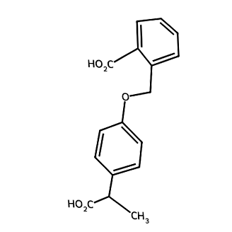 CC(C(=O)O)c1ccc(OCc2ccccc2C(=O)O)cc1